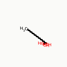 CCCCCCCCCCCCCCCCCCC(CO)C(O)O